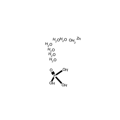 O.O.O.O.O.O.O.O=P(O)(O)O.[Zn]